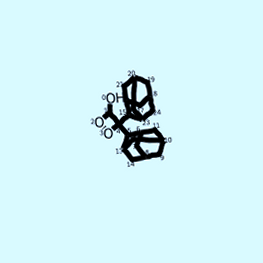 OC1OOC1(C1C2CC3CC(C2)CC1C3)C1C2CC3CC(C2)CC1C3